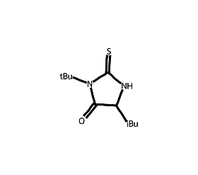 CCC(C)C1NC(=S)N(C(C)(C)C)C1=O